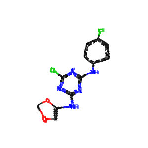 Clc1ccc(Nc2nc(Cl)nc(NC3=COCO3)n2)cc1